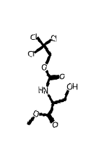 COC(=O)C(CO)NC(=O)OCC(Cl)(Cl)Cl